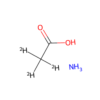 N.[2H]C([2H])([2H])C(=O)O